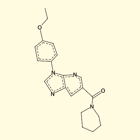 CCOc1ccc(-n2cnc3cc(C(=O)N4CCCCC4)cnc32)cc1